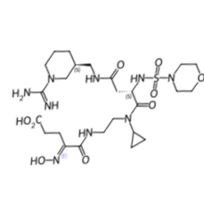 N=C(N)N1CCC[C@@H](CNC(=O)C[C@H](NS(=O)(=O)N2CCOCC2)C(=O)N(CCNC(=O)/C(CCC(=O)O)=N/O)C2CC2)C1